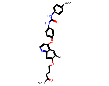 [C-]#[N+]c1cc2c(Oc3ccc(NC(=O)Nc4ccc(OC)cc4)cc3)ccnc2cc1OCCCC(=O)OC